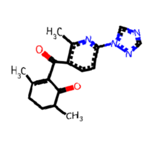 CC1=C(C(=O)c2ccc(-n3cncn3)nc2C)C(=O)C(C)CC1